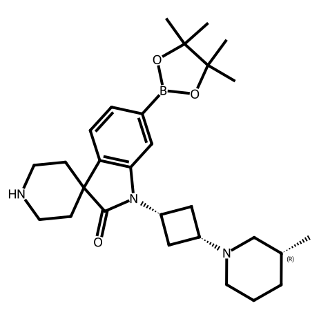 C[C@@H]1CCCN([C@H]2C[C@@H](N3C(=O)C4(CCNCC4)c4ccc(B5OC(C)(C)C(C)(C)O5)cc43)C2)C1